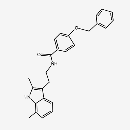 Cc1[nH]c2c(C)cccc2c1CCNC(=O)c1ccc(OCc2ccccc2)cc1